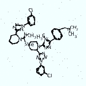 CN(C)Cc1ccc(-c2nnc(N3CCCCC3c3nnn(-c4cccc(Cl)c4)n3)n2C)cc1.CN=C(SC)N1CCCCC1c1nnn(-c2cccc(Cl)c2)n1